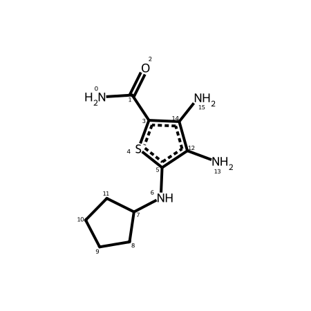 NC(=O)c1sc(NC2CCCC2)c(N)c1N